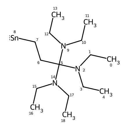 CCN(CC)C(C[CH2][Sn])(N(CC)CC)N(CC)CC